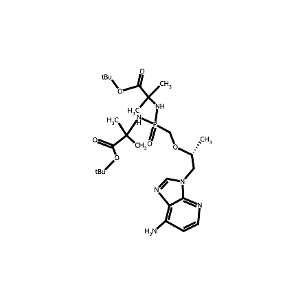 C[C@H](Cn1cnc2c(N)ccnc21)OCP(=O)(NC(C)(C)C(=O)OC(C)(C)C)NC(C)(C)C(=O)OC(C)(C)C